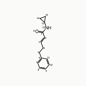 O=C(C=CCCc1ccccc1)NC1CC1